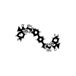 CC(C)(C)[C@H](NC(=O)C1(C2(O)CCC(F)(F)CC2)CC1)c1ncc(-c2ccc(-c3ccc4nc([C@@H](NC(=O)C5(C6(O)CCC(F)(F)CC6)CC5)C(C)(C)C)[nH]c4c3)cc2)[nH]1